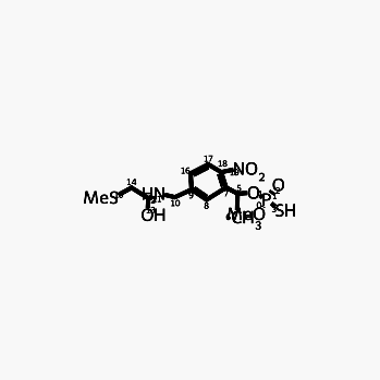 COP(=O)(S)OC(C)c1cc(CNC(O)CSC)ccc1[N+](=O)[O-]